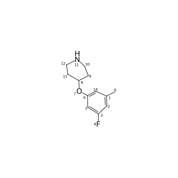 Cc1cc(F)cc(OC2CCNCC2)c1